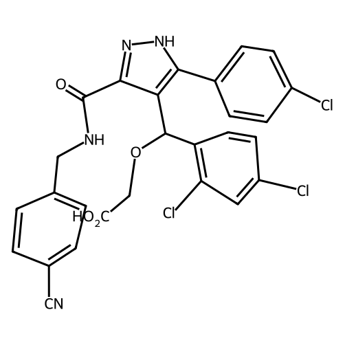 N#Cc1ccc(CNC(=O)c2n[nH]c(-c3ccc(Cl)cc3)c2C(OCC(=O)O)c2ccc(Cl)cc2Cl)cc1